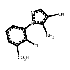 N#Cc1cnn(-c2cccc(C(=O)O)c2Cl)c1N